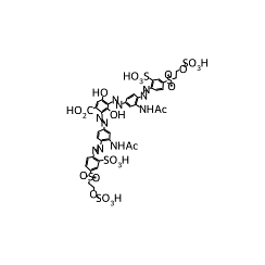 CC(=O)Nc1cc(N=Nc2c(O)cc(C(=O)O)c(N=Nc3ccc(N=Nc4ccc(S(=O)(=O)CCOS(=O)(=O)O)cc4S(=O)(=O)O)c(NC(C)=O)c3)c2O)ccc1N=Nc1ccc(S(=O)(=O)CCOS(=O)(=O)O)cc1S(=O)(=O)O